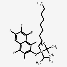 CCCCCCCCC[Si](Oc1c(F)c(F)c2[c]c(F)c(F)c(F)c2c1F)(C(C)C)C(C)(C)C